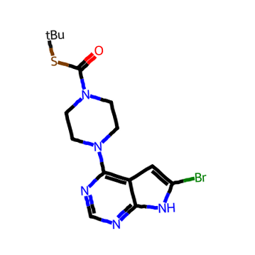 CC(C)(C)SC(=O)N1CCN(c2ncnc3[nH]c(Br)cc23)CC1